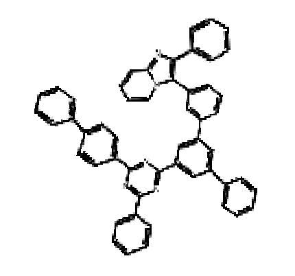 c1ccc(-c2ccc(-c3nc(-c4ccccc4)nc(-c4cc(-c5ccccc5)cc(-c5cccc(-c6c(-c7ccccc7)nc7ccccn67)c5)c4)n3)cc2)cc1